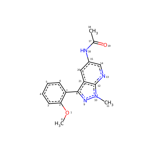 COc1ccccc1-c1nn(C)c2ncc(NC(C)=O)cc12